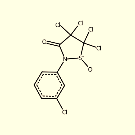 O=C1N(c2cccc(Cl)c2)[S+]([O-])C(Cl)(Cl)C1(Cl)Cl